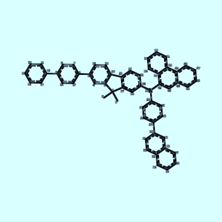 CC1(C)c2cc(-c3ccc(-c4ccccc4)cc3)ccc2-c2ccc(N(c3ccc(-c4ccc5ccccc5c4)cc3)c3cc4ccccc4c4ccccc34)cc21